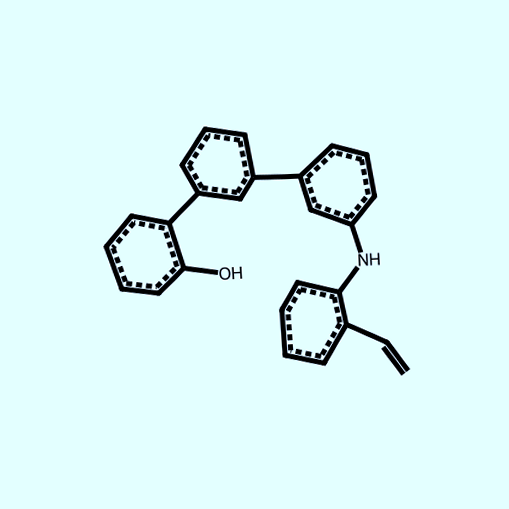 C=Cc1ccccc1Nc1cccc(-c2cccc(-c3ccccc3O)c2)c1